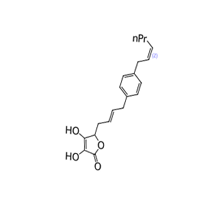 CCC/C=C\Cc1ccc(CC=CCC2OC(=O)C(O)=C2O)cc1